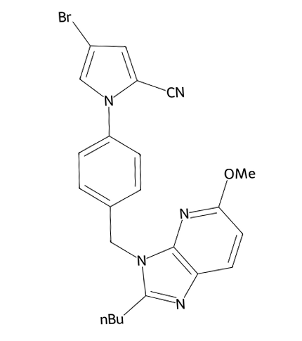 CCCCc1nc2ccc(OC)nc2n1Cc1ccc(-n2cc(Br)cc2C#N)cc1